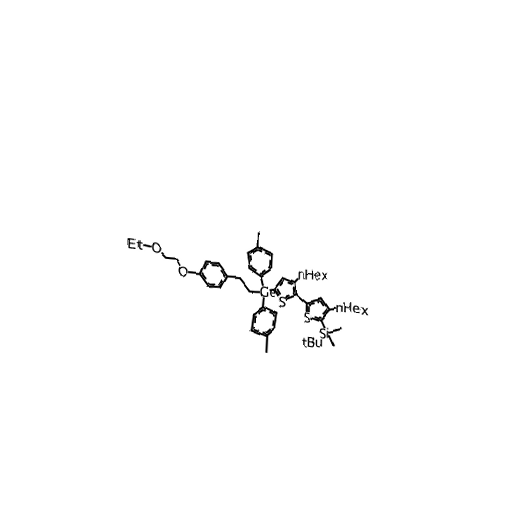 CCCCCCc1c[c]([Ge]([CH2]Cc2ccc(OCCOCC)cc2)([c]2ccc(C)cc2)[c]2ccc(C)cc2)sc1-c1cc(CCCCCC)c([Si](C)(C)C(C)(C)C)s1